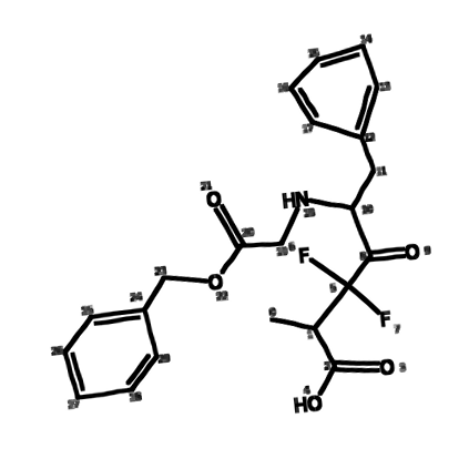 CC(C(=O)O)C(F)(F)C(=O)C(Cc1ccccc1)NCC(=O)OCc1ccccc1